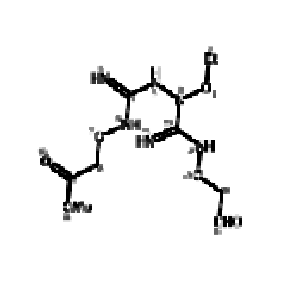 CCON(NC(=N)NOCC(=O)OC)C(=N)NOCC=O